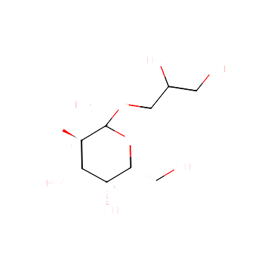 OCC(O)CO[C@@]1(O)O[C@H](CO)[C@H](O)[C@H](O)[C@H]1O